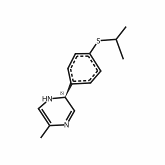 CC1=CN[C@@H](c2ccc(SC(C)C)cc2)C=N1